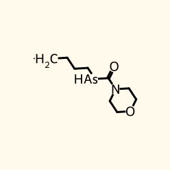 [CH2]CCC[AsH]C(=O)N1CCOCC1